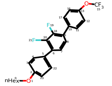 CCCCCCOc1ccc(-c2ccc(-c3ccc(OC(F)(F)F)cc3)c(F)c2F)cc1